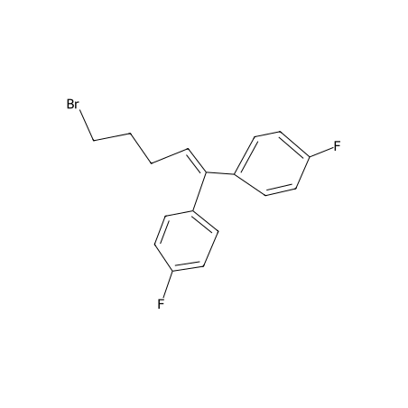 Fc1ccc(C(=CCCCBr)c2ccc(F)cc2)cc1